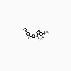 COc1cc2nccc(Oc3ccc(C(=O)c4ccc(N5CCCC5)cc4)cc3)c2cc1OC